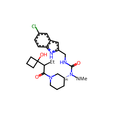 CCC(C(=O)N1CCC[C@@H](N(NC)C(=O)NCc2cc3cc(Cl)ccc3[nH]2)C1)C1(O)CCC1